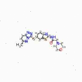 Cc1ccc2nnc(Sc3ccc4nc(NC(=O)CN5CCOCC5)sc4c3)n2n1